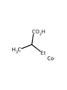 CCC(C)C(=O)O.[Co]